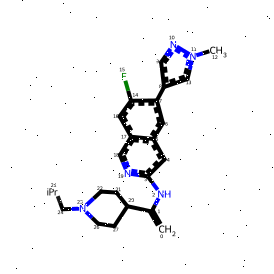 C=C(Nc1cc2cc(-c3cnn(C)c3)c(F)cc2cn1)C1CCN(CC(C)C)CC1